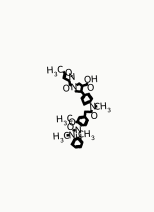 COc1cc(CC(=O)N(C)c2ccc(C3CN(C(=O)c4cc(C)on4)CC3C(=O)O)cc2)ccc1NC(=O)N(C)c1ccccc1C